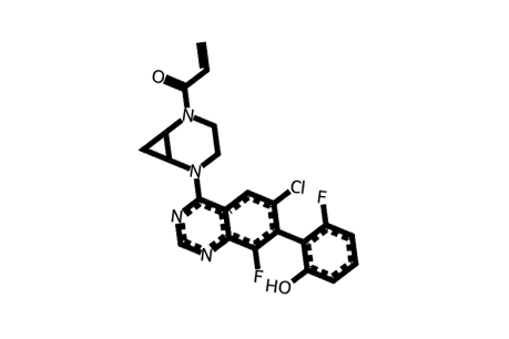 C=CC(=O)N1CCN(c2ncnc3c(F)c(-c4c(O)cccc4F)c(Cl)cc23)C2CC21